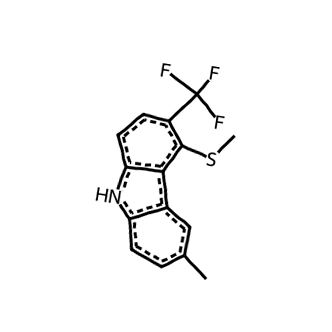 CSc1c(C(F)(F)F)ccc2[nH]c3ccc(C)cc3c12